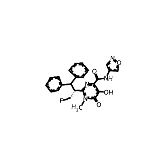 Cn1c([C@H](CF)C(c2ccccc2)c2ccccc2)nc(C(=O)Nc2cnoc2)c(O)c1=O